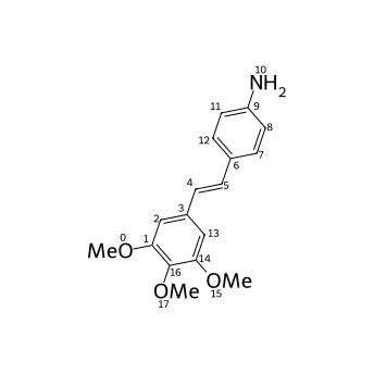 COc1cc(/C=C/c2ccc(N)cc2)cc(OC)c1OC